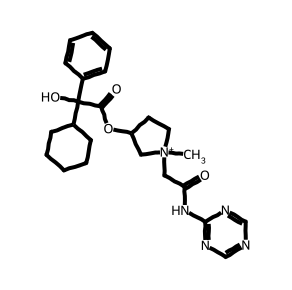 C[N+]1(CC(=O)Nc2ncncn2)CCC(OC(=O)C(O)(c2ccccc2)C2CCCCC2)C1